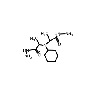 CC(C(=O)NN)N(C1CCCCC1)C(C)C(=O)NN